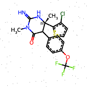 CN1C(=N)N[C@](C)(c2sccc2Cl)C(c2ccc(OC(F)(F)F)cc2)C1=O